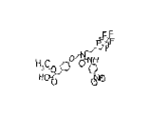 CCOC(Cc1ccc(OCCN(CCCCC(F)(F)C(F)(F)C(F)(F)F)C(=O)Nc2ccc([N+](=O)[O-])cc2)cc1)C(=O)O